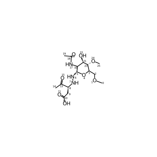 COCC1O[C@@H](NN[C@@H](CC(=O)O)C(C)=O)C(NC(C)=O)[C@@H](O)[C@@H]1OC